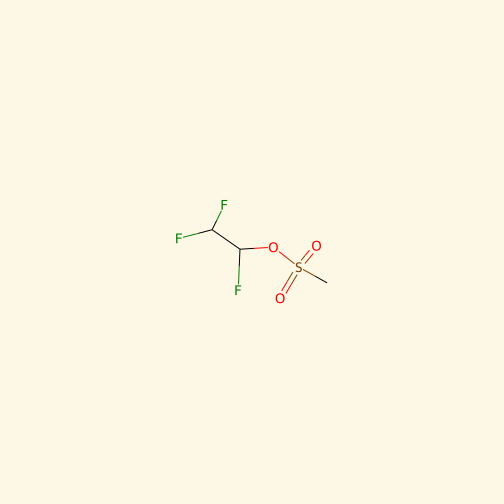 CS(=O)(=O)OC(F)C(F)F